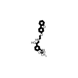 CS(=O)(=O)Nc1cccc([C@@H](O)CNCCOc2ccc3c(c2)oc2ccccc23)c1